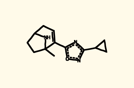 CC12CCC(CC=C1c1nc(C3CC3)no1)N2